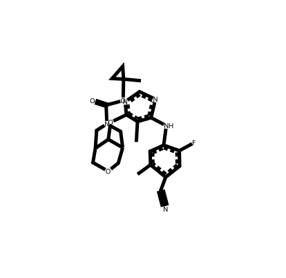 Cc1cc(Nc2ncnc(OC3C4COCC3CN(C(=O)OC3(C)CC3)C4)c2C)c(F)cc1C#N